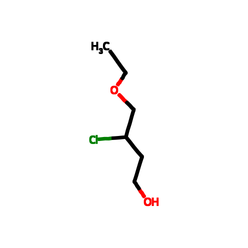 CCOCC(Cl)CCO